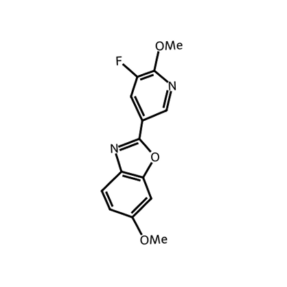 COc1ccc2nc(-c3cnc(OC)c(F)c3)oc2c1